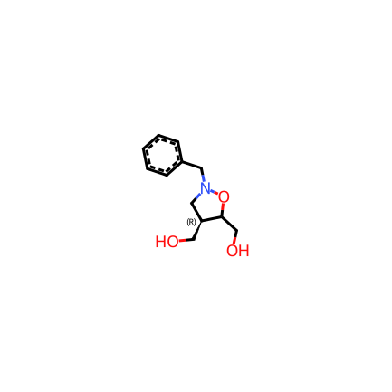 OCC1ON(Cc2ccccc2)C[C@@H]1CO